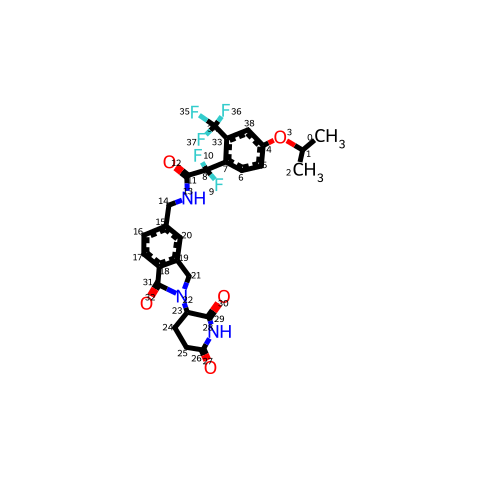 CC(C)Oc1ccc(C(F)(F)C(=O)NCc2ccc3c(c2)CN(C2CCC(=O)NC2=O)C3=O)c(C(F)(F)F)c1